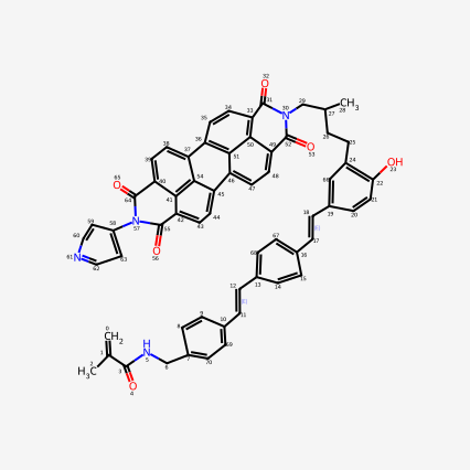 C=C(C)C(=O)NCc1ccc(/C=C/c2ccc(/C=C/c3ccc(O)c(CCC(C)CN4C(=O)c5ccc6c7ccc8c9c(ccc(c%10ccc(c5c6%10)C4=O)c97)C(=O)N(c4ccncc4)C8=O)c3)cc2)cc1